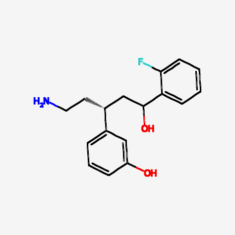 NCC[C@H](CC(O)c1ccccc1F)c1cccc(O)c1